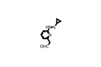 O=CCc1cccc(NSC2CC2)n1